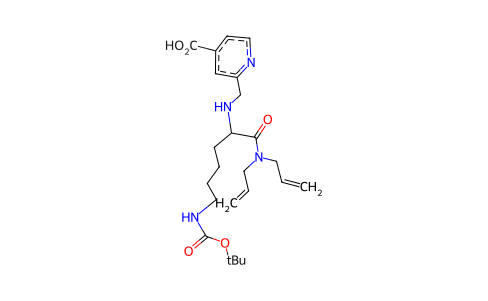 C=CCN(CC=C)C(=O)C(CCCCNC(=O)OC(C)(C)C)NCc1cc(C(=O)O)ccn1